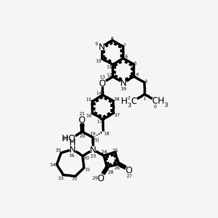 CC(C)Cc1cc2ccncc2c(Oc2ccc(C[C@@H](C(=O)O)N(c3cc(=O)c3=O)C3CCCCCN3)cc2)n1